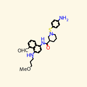 COCCCNc1ccc(NC(=O)C2CCCN(Sc3ccc(N)cc3)C2)c2cccc(C=O)c12